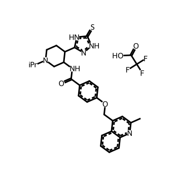 Cc1cc(COc2ccc(C(=O)NC3CN(C(C)C)CCC3c3n[nH]c(=S)[nH]3)cc2)c2ccccc2n1.O=C(O)C(F)(F)F